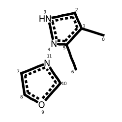 Cc1c[nH]nc1C.c1cocn1